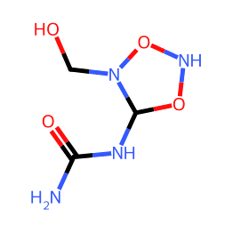 NC(=O)NC1ONON1CO